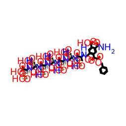 NC(=O)c1cc(C(=O)C(=O)OCc2ccccc2)c(C(=O)NC(CS(=O)(=O)O)C(=O)N[C@H](CS(=O)(=O)O)C(=O)N[C@H](CS(=O)(=O)O)C(=O)N[C@H](CS(=O)(=O)O)C(=O)N[C@H](CS(=O)(=O)O)C(=O)N[C@H](CS(=O)(=O)O)C(=O)N[C@H](CS(=O)(=O)O)C(=O)O)cc1C(=O)O